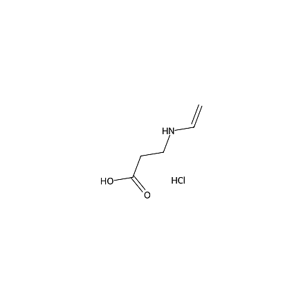 C=CNCCC(=O)O.Cl